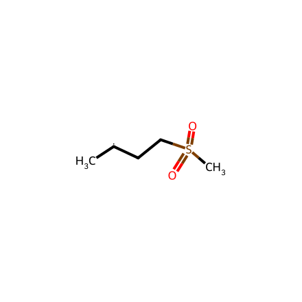 C[CH]CCS(C)(=O)=O